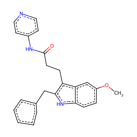 COc1ccc2[nH]c(Cc3ccccc3)c(CCC(=O)Nc3ccncc3)c2c1